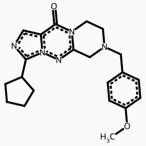 COc1ccc(CN2CCn3c(nn4c(C5CCCC5)ncc4c3=O)C2)cc1